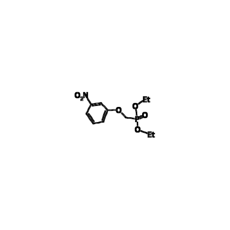 CCOP(=O)(COc1cccc([N+](=O)[O-])c1)OCC